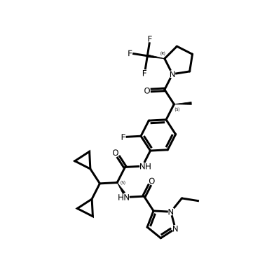 CCn1nccc1C(=O)N[C@H](C(=O)Nc1ccc([C@H](C)C(=O)N2CCC[C@@H]2C(F)(F)F)cc1F)C(C1CC1)C1CC1